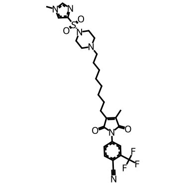 CC1=C(CCCCCCCCN2CCN(S(=O)(=O)c3cn(C)cn3)CC2)C(=O)N(c2ccc(C#N)c(C(F)(F)F)c2)C1=O